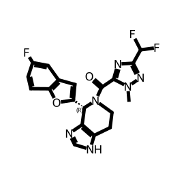 Cn1nc(C(F)F)nc1C(=O)N1CCc2[nH]cnc2[C@@H]1c1cc2cc(F)ccc2o1